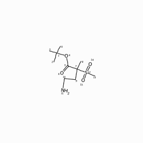 CC(C)(C)OC(=O)C(C)(CCN)S(C)(=O)=O